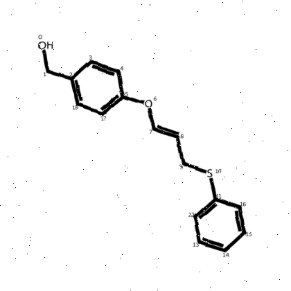 OCc1ccc(OC=CCSc2ccccc2)cc1